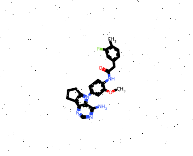 COc1cc(-n2c3c(c4ncnc(N)c42)CCC3)ccc1NC(=O)Cc1ccc(C)c(F)c1